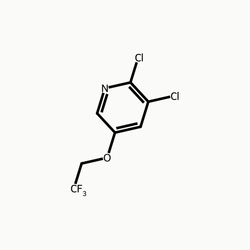 FC(F)(F)COc1cnc(Cl)c(Cl)c1